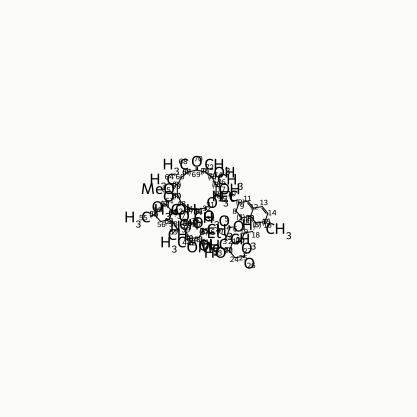 CCC(C)(C)C(=O)O[C@H]1C[C@@H](C)C=C2C=C[C@H](C)[C@H](CC[C@@H]3C[C@@H](O)CC(=O)O3)[C@H]21.CC[C@H]1OC(=O)[C@H](C)[C@@H](O[C@H]2C[C@@](C)(OC)[C@@H](O)[C@H](C)O2)C(C)[C@@H](O[C@@H]2O[C@H](C)C[C@H](N(C)C)[C@H]2O)[C@](C)(OC)C[C@@H](C)C(=O)[C@H](C)[C@@H](O)[C@]1(C)O